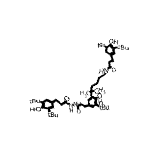 CC(C)(C)c1cc(CCC(=O)NCCCCC(C)(C)c2cc(CCC(=O)NNC(=O)CCc3cc(C(C)(C)C)c(O)c(C(C)(C)C)c3)cc(C(C)(C)C)c2O)cc(C(C)(C)C)c1O